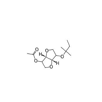 CCC(C)(C)OC1CO[C@H]2C(OC(C)=O)CO[C@@H]12